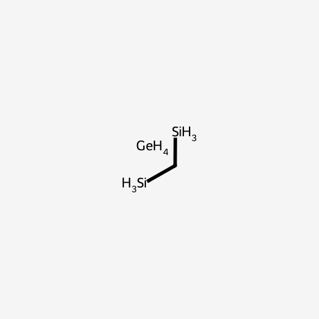 [GeH4].[SiH3]C[SiH3]